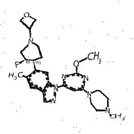 COc1nc(N2CCN(C)CC2)cc(-n2ncc3cc(C)c([C@@H]4CCN(C5COC5)C[C@@H]4F)cc32)n1